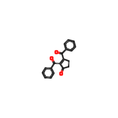 O=C1CCC(C(=O)c2ccccc2)=C1C(=O)c1ccccc1